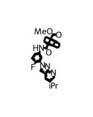 COC(=O)C12C3C4C5C3C1(C(=O)Nc1ccc(F)c(-n3cc6cc(C(C)C)cnc6n3)c1)C5C42